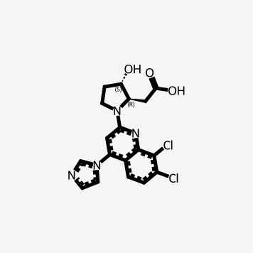 O=C(O)C[C@@H]1[C@@H](O)CCN1c1cc(-n2ccnc2)c2ccc(Cl)c(Cl)c2n1